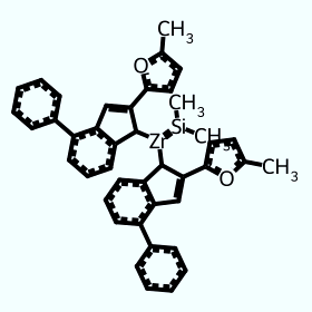 Cc1ccc(C2=Cc3c(-c4ccccc4)cccc3[CH]2[Zr]([CH]2C(c3ccc(C)o3)=Cc3c(-c4ccccc4)cccc32)=[Si](C)C)o1